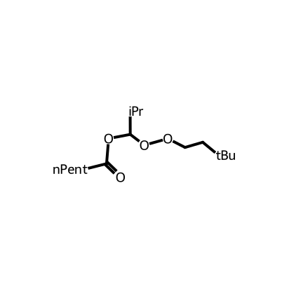 CCCCCC(=O)OC(OOCCC(C)(C)C)C(C)C